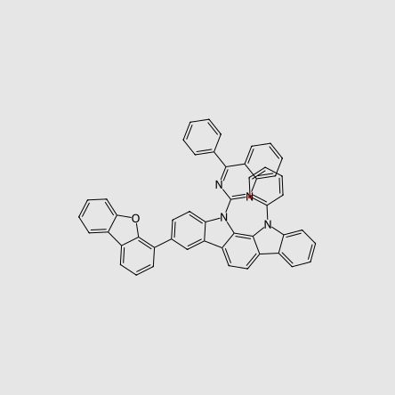 c1ccc(-c2nc(-n3c4ccc(-c5cccc6c5oc5ccccc56)cc4c4ccc5c6ccccc6n(-c6ccccc6)c5c43)nc3ccccc23)cc1